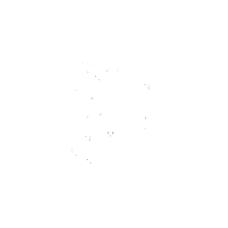 CO[C@@]1(CN2CCN3CCCC[C@@H]3C2)/C=C/C[C@H](C)[C@@H](CC2CCC2)S(=O)(=O)NC(=O)c2ccc3c(c2)N(C[C@@H]2CC[C@H]21)C[C@@]1(CCCc2cc(Cl)ccc21)CO3